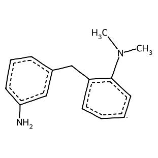 CN(C)c1c[c]ccc1Cc1cccc(N)c1